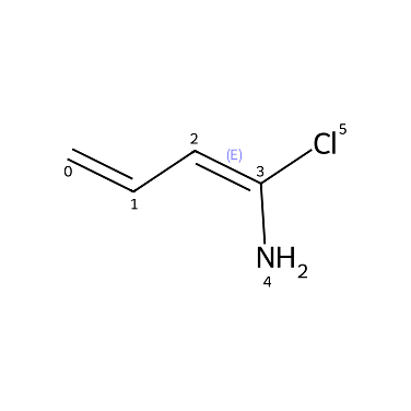 C=C/C=C(\N)Cl